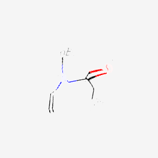 C=CN(CCCC)C(=O)CCCC